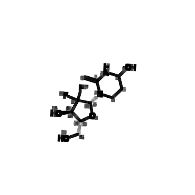 C=C1NC(O)CCN1[C@@H]1O[C@H](CO)[C@@H](O)C1(F)F